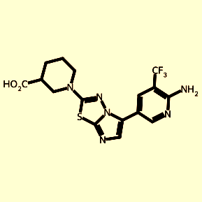 Nc1ncc(-c2cnc3sc(N4CCCC(C(=O)O)C4)nn23)cc1C(F)(F)F